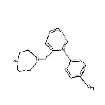 Oc1ccc(-c2ccccc2CN2CCNCC2)cc1